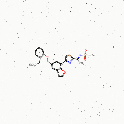 CCOC(=O)Cc1ccccc1OCc1cc(-c2csc(C(C)=NS(=O)(=O)C(C)(C)C)n2)c2occc2c1